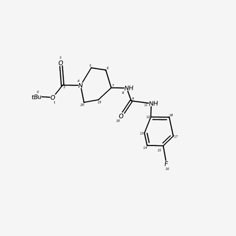 CC(C)(C)OC(=O)N1CCC(NC(=O)Nc2ccc(F)cc2)CC1